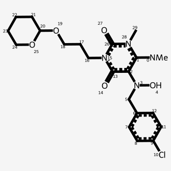 CNc1c(N(O)Cc2ccc(Cl)cc2)c(=O)n(CCCOC2CCCCO2)c(=O)n1C